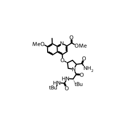 COC(=O)c1cc(O[C@H]2CC(C(N)=O)N(C(=O)[C@@H](NC(=O)NC(C)(C)C)C(C)(C)C)C2)c2ccc(OC)c(C)c2n1